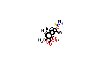 C=C1C2CC3C(C(C)C)C(OC(=S)NCC)CC3(C)CC2C(C)=CCC2C(C)OC(=O)C(O)C12O